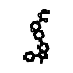 Cc1nc2ccc(N3CCC4(CC3)CN(C(=O)OC(C)(C)C)CCO4)nn2c1-c1ccncc1